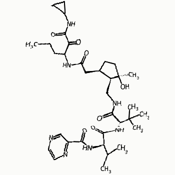 CCCC(NC(=O)C[C@H]1CC[C@@](C)(O)[C@H]1CNC(=O)[C@@H](NC(=O)[C@H](NC(=O)c1cnccn1)C(C)C)C(C)(C)C)C(=O)C(=O)NC1CC1